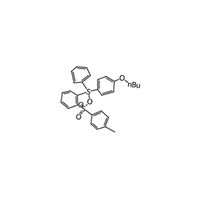 CCCCOc1ccc(S(OS(=O)(=O)c2ccc(C)cc2)(c2ccccc2)c2ccccc2)cc1